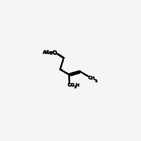 CC=C(CCOC)C(=O)O